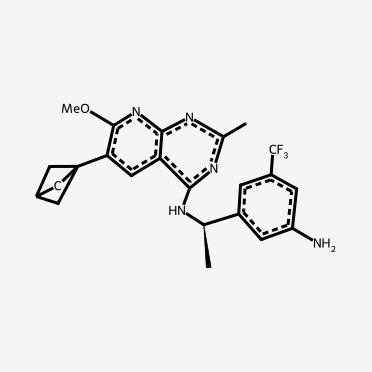 COc1nc2nc(C)nc(N[C@H](C)c3cc(N)cc(C(F)(F)F)c3)c2cc1C12CC(C1)C2